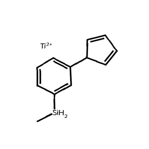 C[SiH2]c1cccc(C2C=CC=C2)c1.[Ti+2]